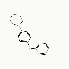 FC(F)(F)c1cnc(Nc2ccc(N3CCNCC3)cc2)nc1